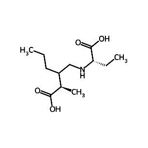 CCCC(CN[C@@H](CC)C(=O)O)[C@@H](C)C(=O)O